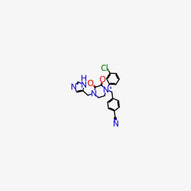 N#Cc1ccc(C[N+]2(c3cccc(Cl)c3)CCN(Cc3cnc[nH]3)C(=O)C2=O)cc1